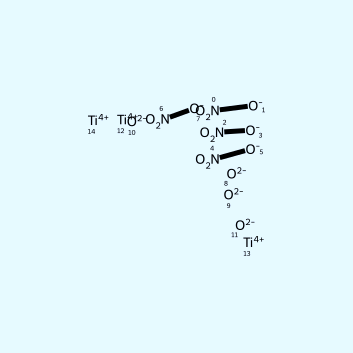 O=[N+]([O-])[O-].O=[N+]([O-])[O-].O=[N+]([O-])[O-].O=[N+]([O-])[O-].[O-2].[O-2].[O-2].[O-2].[Ti+4].[Ti+4].[Ti+4]